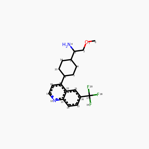 COCC(N)C1CCC(c2ccnc3ccc(C(F)(F)F)cc23)CC1